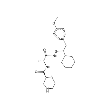 COc1ccc(CC(SNC(=O)[C@@H](C)NC(=O)[C@@H]2CNCCS2)C2CCCCC2)cc1